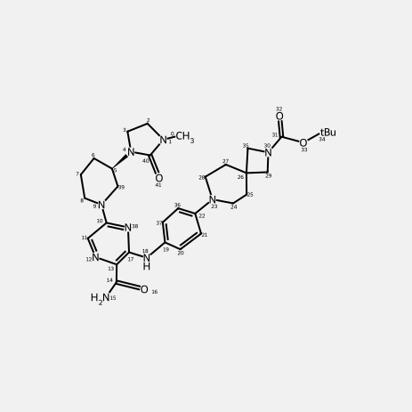 CN1CCN([C@@H]2CCCN(c3cnc(C(N)=O)c(Nc4ccc(N5CCC6(CC5)CN(C(=O)OC(C)(C)C)C6)cc4)n3)C2)C1=O